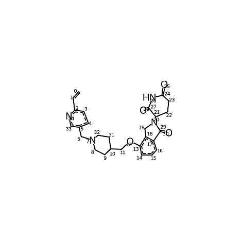 C=Cc1ccc(CN2CCC(COc3cccc4c3CN(C3CCC(=O)NC3=O)C4=O)CC2)cn1